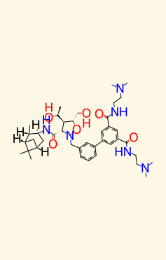 C[C@@H]1[C@@H](NC(=O)[C@@H]2[C@@H]([C@H](C)O)[C@H](CO)ON2Cc2cccc(-c3cc(C(=O)NCCN(C)C)cc(C(=O)NCCN(C)C)c3)c2)C[C@H]2C[C@@H]1C2(C)C